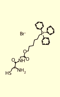 N[C@@H](CS)C(=O)NCC(=O)OCCCCCC[P+](c1ccccc1)(c1ccccc1)c1ccccc1.[Br-]